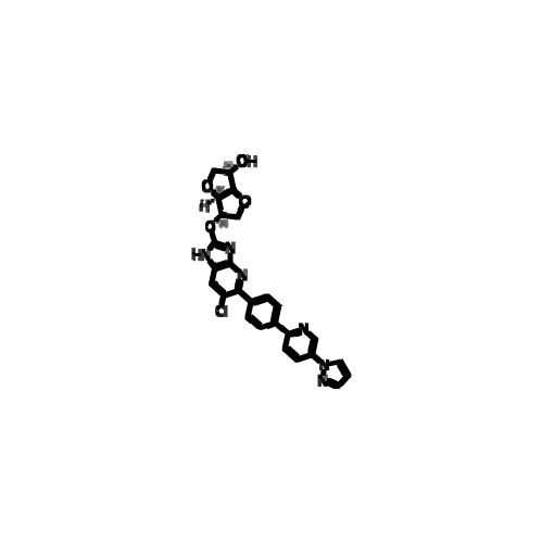 O[C@@H]1CO[C@H]2C1OC[C@H]2Oc1nc2nc(-c3ccc(-c4ccc(-n5cccn5)cn4)cc3)c(Cl)cc2[nH]1